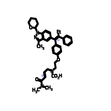 CC/C(=C(/c1ccc(OCCN(C/C=C/C(=O)N(C)C)C(=O)O)cc1)c1ccc2c(c1)c(C)nn2C1CCCCO1)c1ccccc1